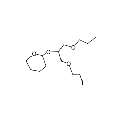 CCCOCC(COCCI)OC1CCCCO1